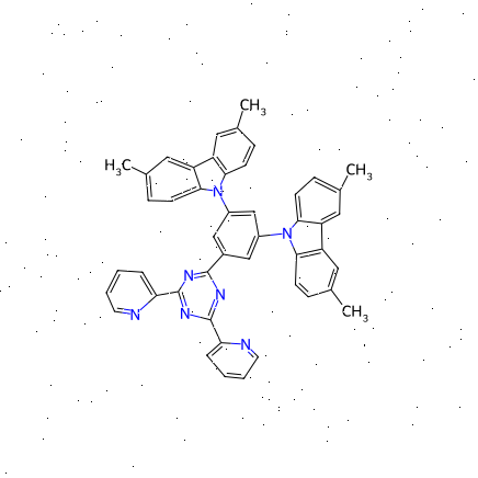 Cc1ccc2c(c1)c1cc(C)ccc1n2-c1cc(-c2nc(-c3ccccn3)nc(-c3ccccn3)n2)cc(-n2c3ccc(C)cc3c3cc(C)ccc32)c1